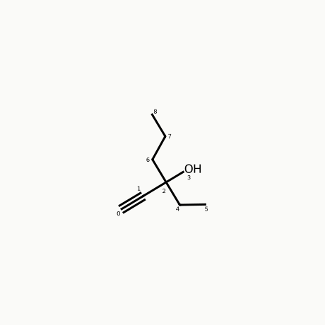 C#CC(O)(CC)CCC